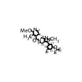 COc1nccc(C(=O)N2CCc3c(nn(C)c3-c3cc(F)cc(OC(F)F)c3)C2)c1C